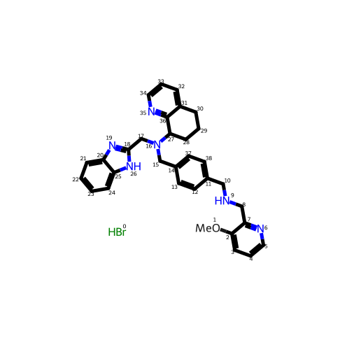 Br.COc1cccnc1CNCc1ccc(CN(Cc2nc3ccccc3[nH]2)C2CCCc3cccnc32)cc1